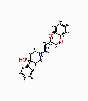 OC1(c2ccccc2)CCN(/C=C/C2COc3ccccc3O2)CC1